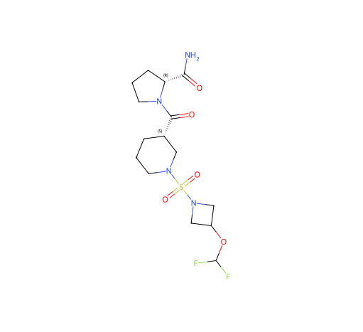 NC(=O)[C@H]1CCCN1C(=O)[C@H]1CCCN(S(=O)(=O)N2CC(OC(F)F)C2)C1